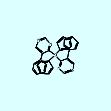 c1ccc(-c2cncnc2[Si](c2ccccc2)(c2ccccc2)c2ncncc2-c2ccccc2)cc1